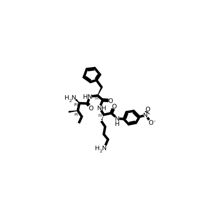 CC[C@@H](C)[C@@H](N)C(=O)N[C@@H](Cc1ccccc1)C(=O)N[C@@H](CCCCN)C(=O)Nc1ccc([N+](=O)[O-])cc1